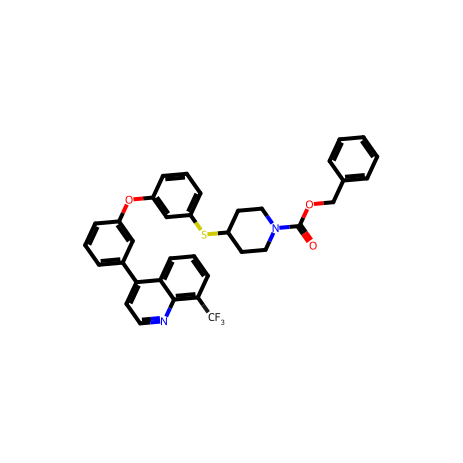 O=C(OCc1ccccc1)N1CCC(Sc2cccc(Oc3cccc(-c4ccnc5c(C(F)(F)F)cccc45)c3)c2)CC1